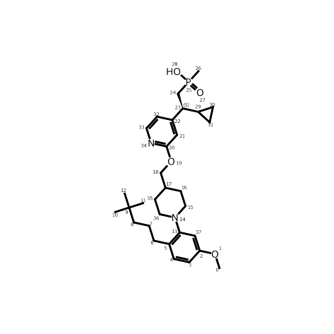 COc1ccc(CCCC(C)(C)C)c(N2CCC(COc3cc([C@@H](CP(C)(=O)O)C4CC4)ccn3)CC2)c1